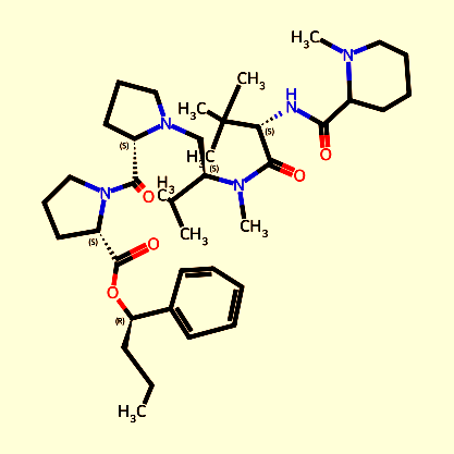 CCC[C@@H](OC(=O)[C@@H]1CCCN1C(=O)[C@@H]1CCCN1C[C@H](C(C)C)N(C)C(=O)[C@@H](NC(=O)C1CCCCN1C)C(C)(C)C)c1ccccc1